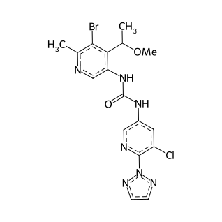 COC(C)c1c(NC(=O)Nc2cnc(-n3nccn3)c(Cl)c2)cnc(C)c1Br